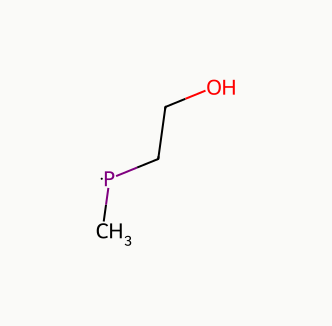 C[P]CCO